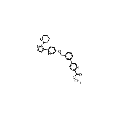 COC(=O)c1ccc(-c2cccc(COc3ccc(-c4ccnn4C4CCCCO4)nc3)c2)cn1